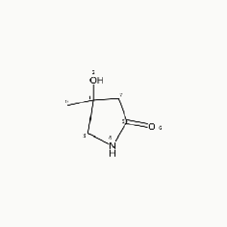 CC1(O)CNC(=O)C1